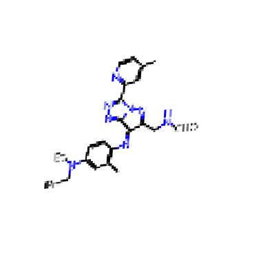 CCN(CC(C)C)c1ccc(/N=C2/C(CNC=O)=Nn3c2nnc3-c2cc(C)ccn2)c(C)c1